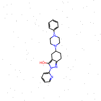 Oc1c2c(nn1-c1ccccn1)CCC(N1CCN(c3cc[c]cc3)CC1)C2